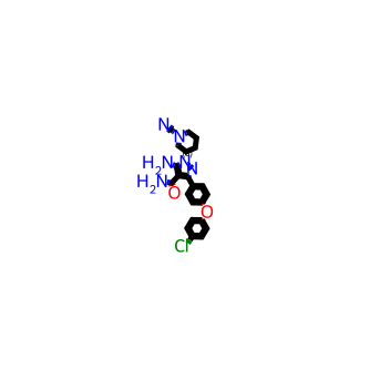 N#CN1CCC[C@H](n2nc(-c3ccc(Oc4ccc(Cl)cc4)cc3)c(C(N)=O)c2N)C1